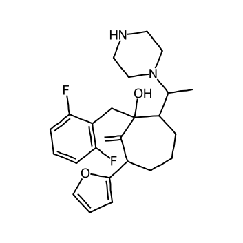 C=C1C(c2ccco2)CCCC(C(C)N2CCNCC2)C1(O)Cc1c(F)cccc1F